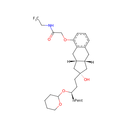 CCCCC[C@H](CC[C@]1(O)C[C@H]2Cc3cccc(OCC(=O)NCC(F)(F)F)c3C[C@H]2C1)OC1CCCCO1